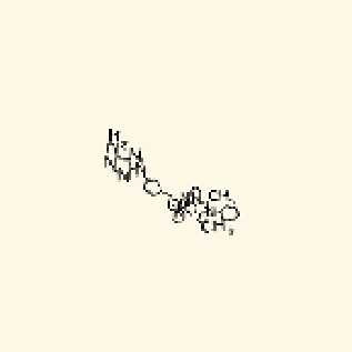 CON(c1ccccc1)[C@H](C)C(=O)OP(N)(=O)OC[C@H]1C=C[C@@H](n2cnc3c(N)ncnc32)C1